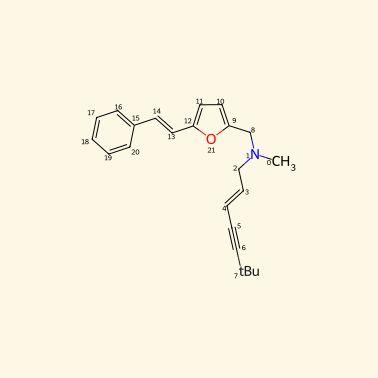 CN(CC=CC#CC(C)(C)C)Cc1ccc(C=Cc2ccccc2)o1